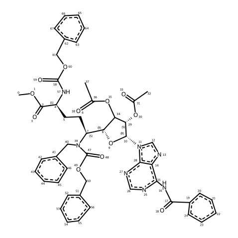 COC(=O)[C@H](CC[C@@H]([C@H]1O[C@@H](n2cnc3c(NC(=O)c4ccccc4)ncnc32)[C@@H](OC(C)=O)C1OC(C)=O)N(Cc1ccccc1)C(=O)OCc1ccccc1)NC(=O)OCc1ccccc1